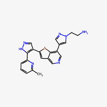 Cc1cccc(-c2[nH]ncc2-c2cc3cncc(-c4cnn(CCN)c4)c3s2)n1